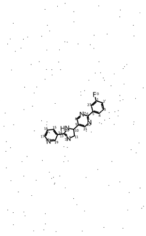 Fc1cccc(-c2ncc(C3CN=C(c4cccnc4)N3)cn2)c1